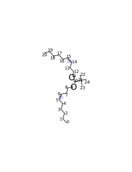 CCCCC/C=C\CCOC(OCC/C=C\CCCCC)C(C)(C)C